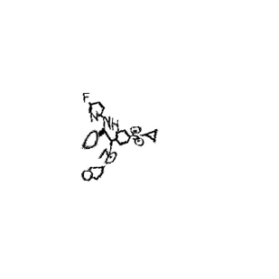 O=C(Nc1ccc(F)cn1)/C(=N/O[C@@H]1CCOC1)c1ccc(S(=O)(=O)C2CC2)cc1